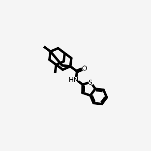 CC12CC3CC(C)(C1)CC(C(=O)Nc1cc4ccccc4s1)(C3)C2